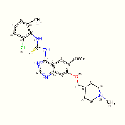 COc1cc2c(NC(=S)Nc3c(C)cccc3Cl)ncnc2cc1OCC1CCN(C)CC1